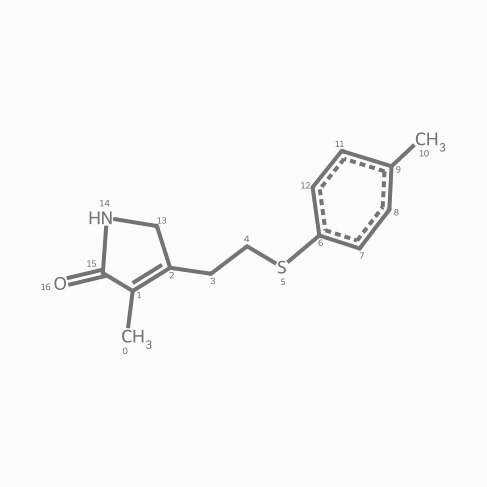 CC1=C(CCSc2ccc(C)cc2)CNC1=O